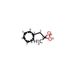 CC1(Cc2ccccc2)OO1